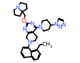 CCc1cccc2cccc(N3CCc4c(nc(OCC56CCCN5CCC6)nc4N4CCC(n5ccnn5)CC4)C3)c12